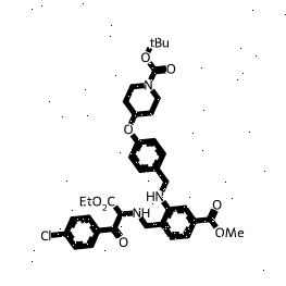 CCOC(=O)C(NCc1ccc(C(=O)OC)cc1NCc1ccc(OC2CCN(C(=O)OC(C)(C)C)CC2)cc1)C(=O)c1ccc(Cl)cc1